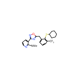 CNc1ncccc1-c1noc(Cc2cccc(C(F)(F)F)c2SC2CCCCC2)n1